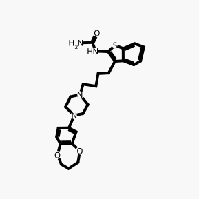 NC(=O)Nc1sc2ccccc2c1CCCCN1CCN(c2ccc3c(c2)OCCCO3)CC1